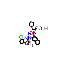 Cc1cccc(Cl)c1NC(=O)Nc1cc2ccccc2cc1C(=O)N[C@@H](CC1CCCCC1)C(=O)O